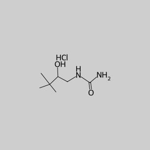 CC(C)(C)C(O)CNC(N)=O.Cl